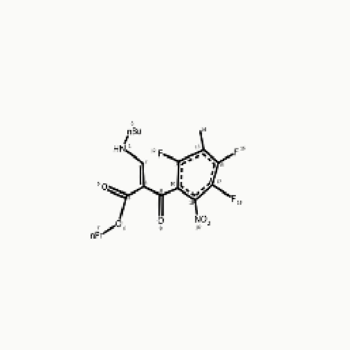 CCCCNC=C(C(=O)OCCC)C(=O)c1c(F)c(C)c(F)c(F)c1[N+](=O)[O-]